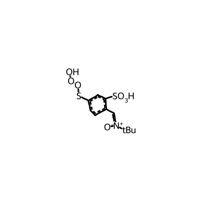 CC(C)(C)[N+]([O-])=Cc1ccc(SOOO)cc1S(=O)(=O)O